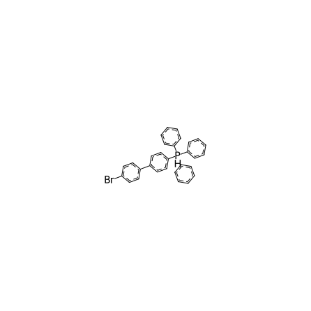 Brc1ccc(-c2ccc([PH](c3ccccc3)(c3ccccc3)c3ccccc3)cc2)cc1